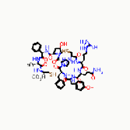 CCC[C@H](NC(=O)[C@@H](NC(=O)[C@@H]1C[C@@H](O)CN1C(=O)[C@@H]1CCCN1C(=O)[C@H](Cc1ccccc1)NC(=O)[C@H](Cc1ccc(O)cc1)NC(=O)[C@H](CCC(N)=O)NC(=O)[C@H](CCCNC(=N)N)NC(=O)[C@@H](N)CS)c1ccccc1)C(=O)N[C@@H](CS)C(=O)O